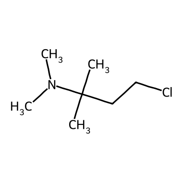 CN(C)C(C)(C)CCCl